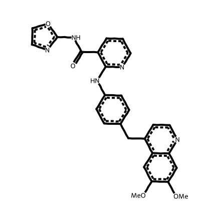 COc1cc2nccc(Cc3ccc(Nc4ncccc4C(=O)Nc4ncco4)cc3)c2cc1OC